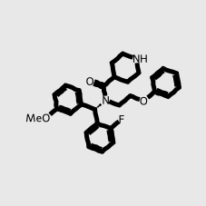 COc1cccc([C@@H](c2ccccc2F)N(CCOc2ccccc2)C(=O)C2CCNCC2)c1